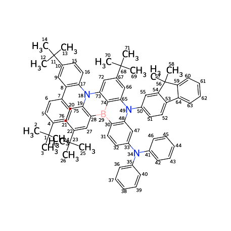 CC(C)(C)c1ccc(-c2cc(C(C)(C)C)ccc2N2c3ccc(C(C)(C)C)cc3B3c4ccc(N(c5ccccc5)c5ccccc5)cc4N(c4ccc5c(c4)C(C)(C)c4ccccc4-5)c4cc(C(C)(C)C)cc2c43)cc1